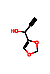 C#CC(O)C1=COCO1